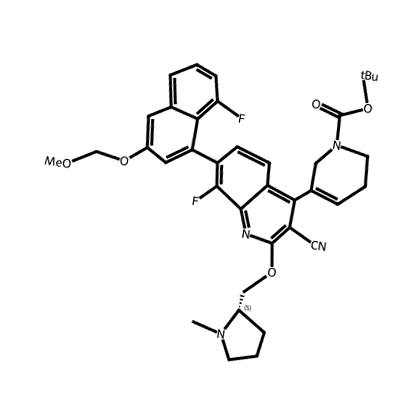 COCOc1cc(-c2ccc3c(C4=CCCN(C(=O)OC(C)(C)C)C4)c(C#N)c(OC[C@@H]4CCCN4C)nc3c2F)c2c(F)cccc2c1